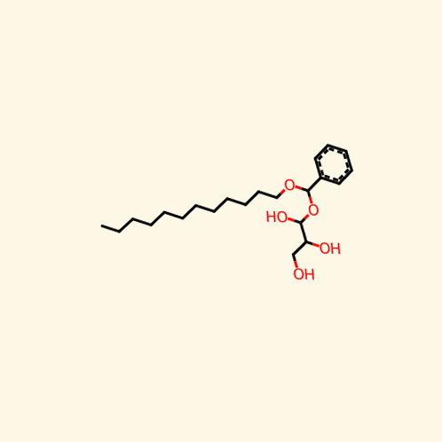 CCCCCCCCCCCCOC(OC(O)C(O)CO)c1ccccc1